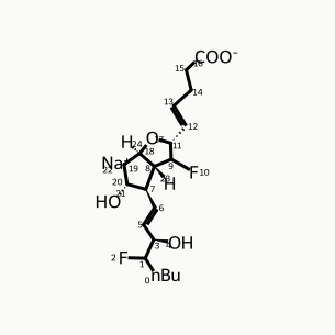 CCCCC(F)[C@H](O)/C=C/[C@@H]1[C@H]2C(F)[C@@H](/C=C/CCC(=O)[O-])O[C@@H]2C[C@H]1O.[Na+]